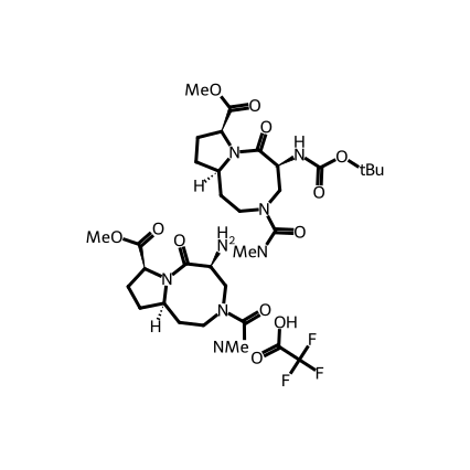 CNC(=O)N1CC[C@H]2CC[C@@H](C(=O)OC)N2C(=O)[C@@H](N)C1.CNC(=O)N1CC[C@H]2CC[C@@H](C(=O)OC)N2C(=O)[C@@H](NC(=O)OC(C)(C)C)C1.O=C(O)C(F)(F)F